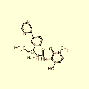 Cn1ccc(O)c(NC(=O)N[C@@H](CC(=O)O)c2cccc(-c3cnccn3)c2)c1=O.[NaH]